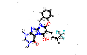 CC(=CCc1c(O)n2c3c(nc2n(Cc2ccccc2)c1=O)N(C)CN(C)C3=O)C(F)(F)F